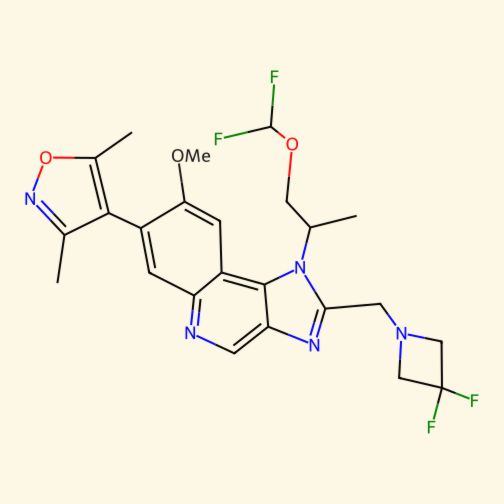 COc1cc2c(cc1-c1c(C)noc1C)ncc1nc(CN3CC(F)(F)C3)n(C(C)COC(F)F)c12